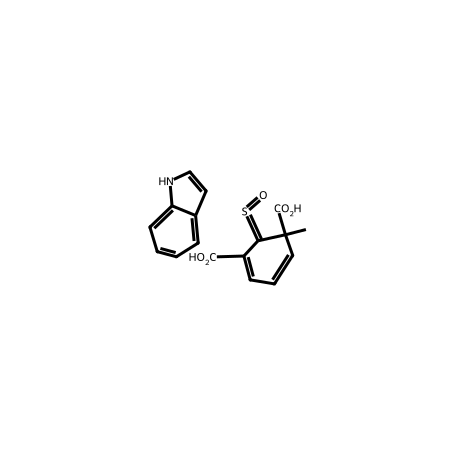 CC1(C(=O)O)C=CC=C(C(=O)O)C1=S=O.c1ccc2[nH]ccc2c1